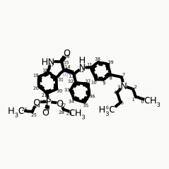 CCCN(CCC)Cc1ccc(N/C(=C2\C(=O)Nc3ccc(P(=O)(OCC)OCC)cc32)c2ccccc2)cc1